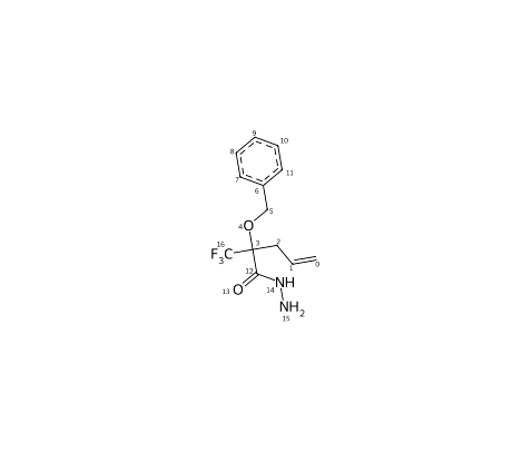 C=CCC(OCc1ccccc1)(C(=O)NN)C(F)(F)F